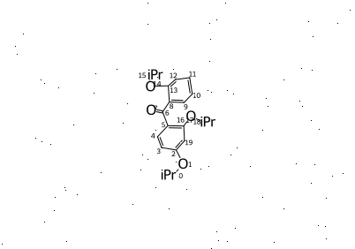 CC(C)Oc1ccc(C(=O)c2ccccc2OC(C)C)c(OC(C)C)c1